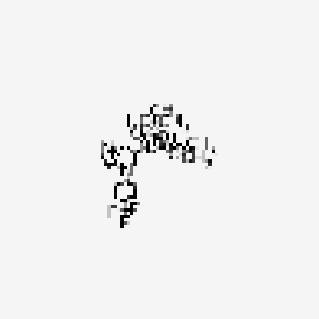 CC(C)(C)OC(=O)CN(C(=O)OC(C)(C)C)C1CN(c2ccc(C(F)(F)F)cc2)c2ccnn2C1